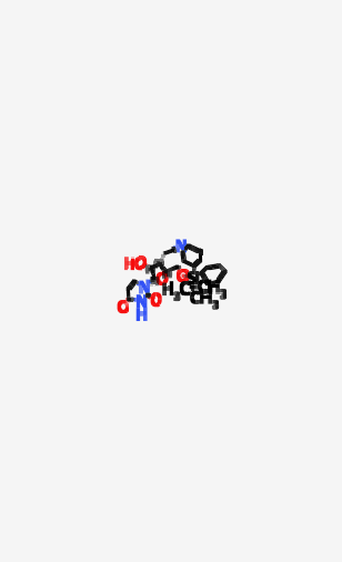 CC(C)(C)[Si](OC[C@H]1O[C@@H](n2ccc(=O)[nH]c2=O)[C@H](O)[C@@H]1CC#N)(c1ccccc1)c1ccccc1